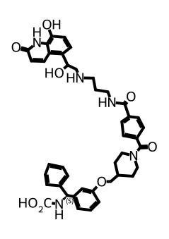 O=C(O)N[C@@H](c1ccccc1)c1cccc(OCC2CCN(C(=O)c3ccc(C(=O)NCCCNCC(O)c4ccc(O)c5[nH]c(=O)ccc45)cc3)CC2)c1